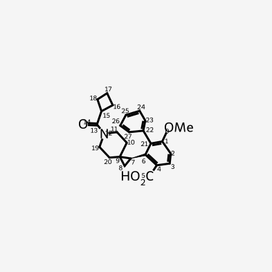 COc1ccc(C(=O)O)c([C@H]2CC23CCN(C(=O)C2CCC2)CC3)c1-c1ccccc1